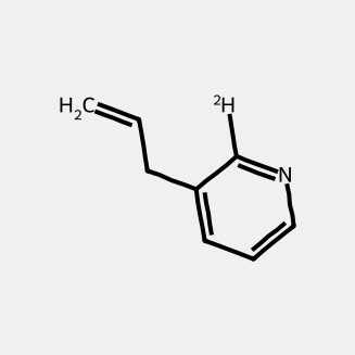 [2H]c1ncccc1CC=C